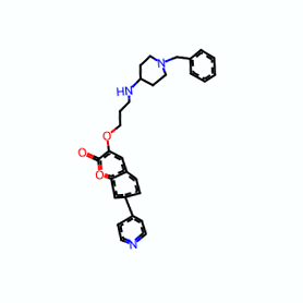 O=c1oc2cc(-c3ccncc3)ccc2cc1OCCCNC1CCN(Cc2ccccc2)CC1